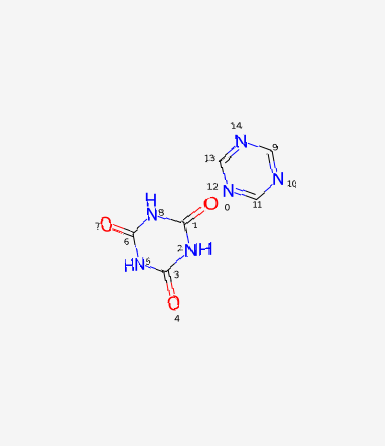 O=c1[nH]c(=O)[nH]c(=O)[nH]1.c1ncncn1